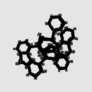 c1ccc(-c2nc(-c3ccccc3)nc(-c3cccc4oc5cccc(-c6ccc7c(ccc8ccccc87)c6)c5c34)n2)cc1